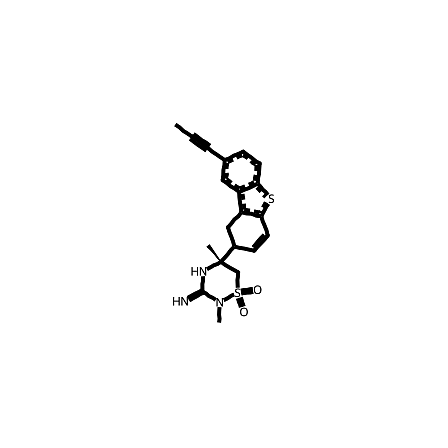 CC#Cc1ccc2sc3c(c2c1)CC([C@]1(C)CS(=O)(=O)N(C)C(=N)N1)C=C3